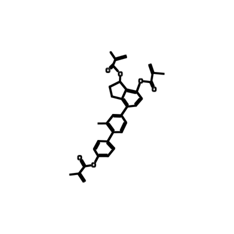 C=C(C)C(=O)Oc1ccc(-c2ccc(-c3ccc(OC(=O)C(=C)C)c4c3CCC4OC(=O)C(=C)C)cc2C)cc1